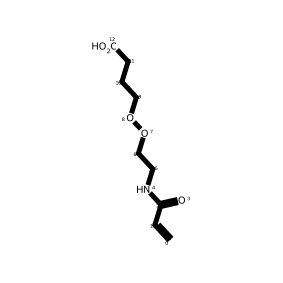 C=CC(=O)NCCOOCCCC(=O)O